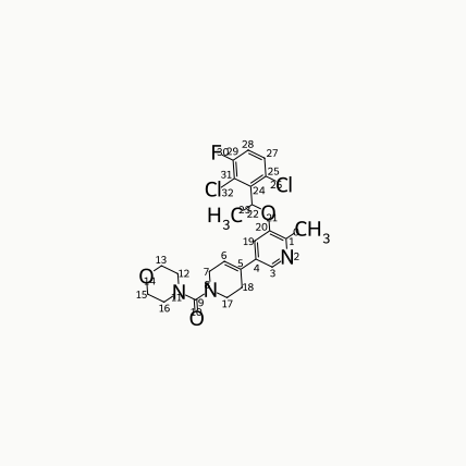 Cc1ncc(C2=CCN(C(=O)N3CCOCC3)CC2)cc1OC(C)c1c(Cl)ccc(F)c1Cl